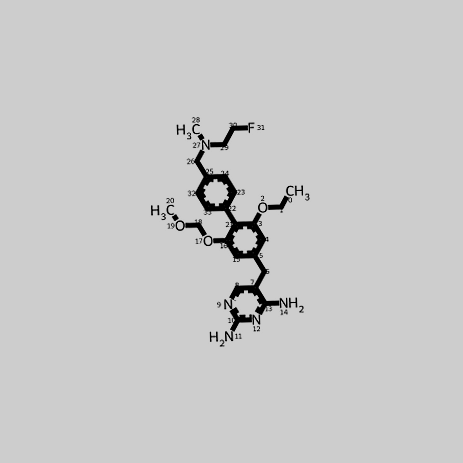 CCOc1cc(Cc2cnc(N)nc2N)cc(OCOC)c1-c1ccc(CN(C)CCF)cc1